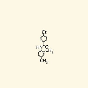 CCc1ccc(C(=O)Nc2ccc(C)cc2C)cc1